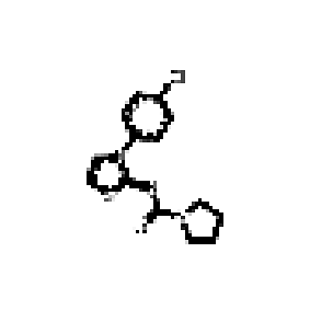 O=C(/N=c1\sccn1-c1ccc(Cl)cc1)N1CCCC1